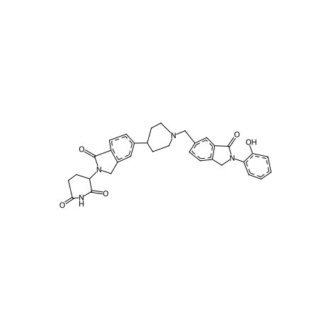 O=C1CCC(N2Cc3cc(C4CCN(Cc5ccc6c(c5)C(=O)N(c5ccccc5O)C6)CC4)ccc3C2=O)C(=O)N1